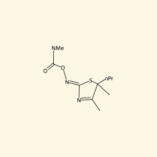 CCCC1(C)SC(=NOC(=O)NC)N=C1C